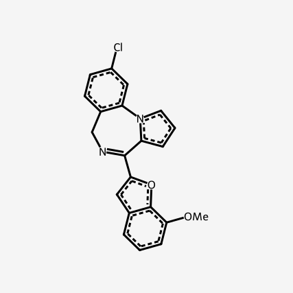 COc1cccc2cc(C3=NCc4ccc(Cl)cc4-n4cccc43)oc12